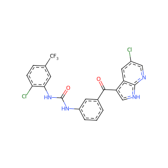 O=C(Nc1cccc(C(=O)c2c[nH]c3ncc(Cl)cc23)c1)Nc1cc(C(F)(F)F)ccc1Cl